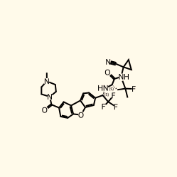 CN1CCN(C(=O)c2ccc3oc4cc([C@H](N[C@@H](CC(C)(C)F)C(=O)NC5(C#N)CC5)C(F)(F)F)ccc4c3c2)CC1